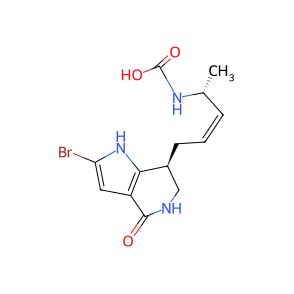 C[C@H](/C=C\C[C@H]1CNC(=O)c2cc(Br)[nH]c21)NC(=O)O